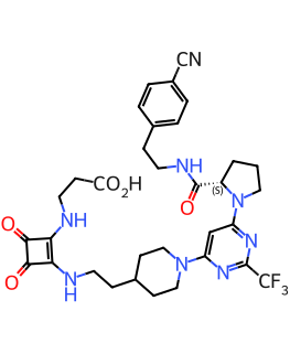 N#Cc1ccc(CCNC(=O)[C@@H]2CCCN2c2cc(N3CCC(CCNc4c(NCCC(=O)O)c(=O)c4=O)CC3)nc(C(F)(F)F)n2)cc1